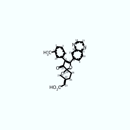 Cc1cccc(C2=C(c3ccc4nccnc4c3)OC3(CCC(=CC(=O)O)CC3)C2=O)c1